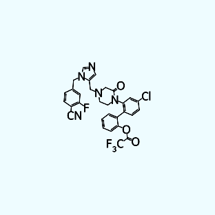 N#Cc1ccc(Cn2cncc2CN2CCN(c3cc(Cl)ccc3-c3ccccc3OC(=O)C(F)(F)F)C(=O)C2)cc1F